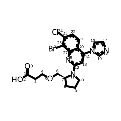 O=C(O)CCOC[C@@H]1CCCN1c1cc(-n2ccnc2)c2ccc(Cl)c(Br)c2n1